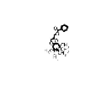 CN1C(C)(C)CC2(CC1(C)C)OCC(COC(=O)c1ccccc1)O2